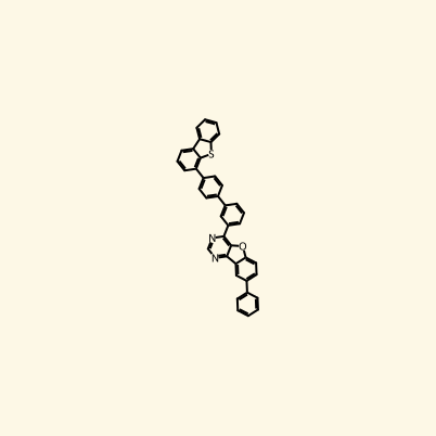 c1ccc(-c2ccc3oc4c(-c5cccc(-c6ccc(-c7cccc8c7sc7ccccc78)cc6)c5)ncnc4c3c2)cc1